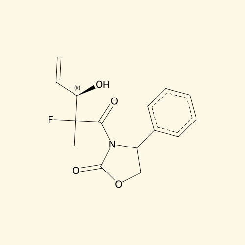 C=C[C@@H](O)C(C)(F)C(=O)N1C(=O)OCC1c1ccccc1